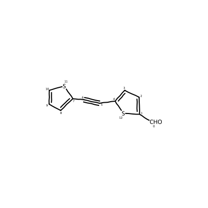 O=Cc1ccc(C#Cc2cccs2)s1